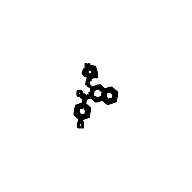 O=C(c1ccc(Cl)cc1)N1Cc2ccccc2C[C@H]1Cn1cncn1